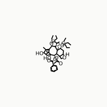 CC[Si](CC)(CC)O[C@H]1C(=O)[C@@]2(C)C([C@H](OC(=O)c3ccccc3)[C@]3(O)C[C@H](O)C(C)=C1C3(C)C)[C@]1(OC(C)=O)CO[C@@H]1C[C@@H]2O[Si](CC)(CC)CC